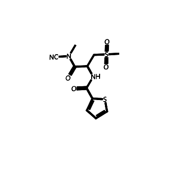 CN(C#N)C(=O)C(CS(C)(=O)=O)NC(=O)c1cccs1